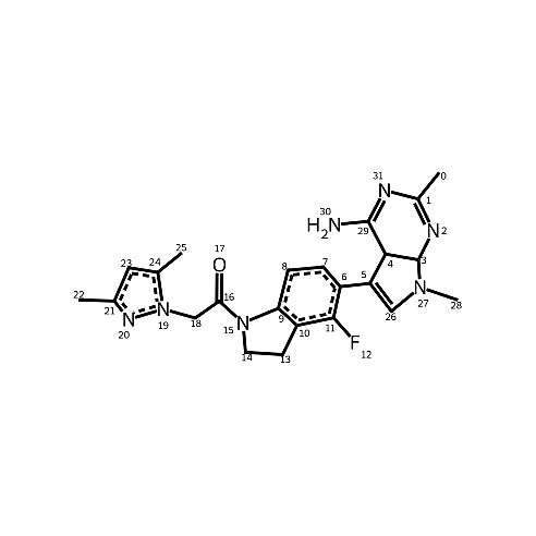 CC1=NC2C(C(c3ccc4c(c3F)CCN4C(=O)Cn3nc(C)cc3C)=CN2C)C(N)=N1